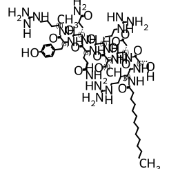 CCCCCCCCCCCCCC(=O)N[C@@H](CCCNC(=N)N)C(=O)N[C@@H](CO)C(=O)N[C@@H](CC(=O)O)C(=O)N[C@H](C(=O)N[C@@H](CCCNC(=N)N)C(=O)N[C@@H](CCC(N)=O)C(=O)N[C@@H](CCC(N)=O)C(=O)N[C@@H](Cc1ccc(O)cc1)C(=O)N[C@H](C)CCCNC(=N)N)[C@@H](C)O